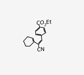 CCOC(=O)c1ccc(C=C(C#N)C2=CCCCC2)cc1